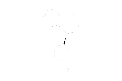 Cc1sc(C=O)cc1[C@@H]1OCCc2ccccc21